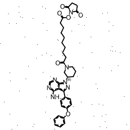 Nc1ncnc2c1c(-c1ccc(Oc3ccccc3)cc1)nn2[C@@H]1CCCN(C(=O)CCCCCCCCC(=O)ON2C(=O)CCC2=O)C1